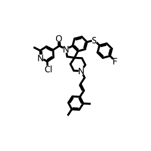 Cc1ccc(C=CCN2CCC3(CC2)CN(C(=O)c2cc(C)nc(Cl)c2)c2ccc(Sc4ccc(F)cc4)cc23)c(C)c1